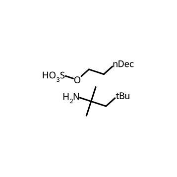 CC(C)(C)CC(C)(C)N.CCCCCCCCCCCCOS(=O)(=O)O